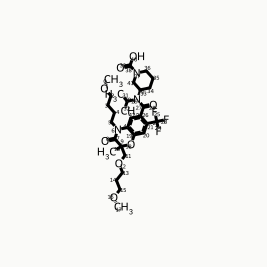 COCCCCN1C(=O)C(C)(COCCCOC)Oc2cc(C(F)(F)F)c(C(=O)N(C(C)C)[C@@H]3CCCN(C(=O)O)C3)cc21